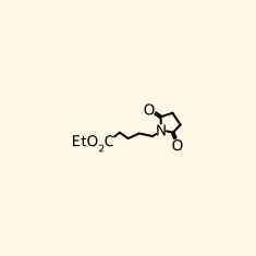 CCOC(=O)CCCCN1C(=O)CCC1=O